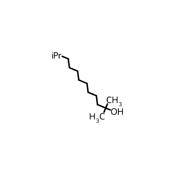 CC(C)CCCCCCCCC(C)(C)O